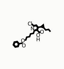 CCCC1CC1c1cc(Cl)nc(CCCCCOC(=O)c2ccccc2)c1C(=O)O